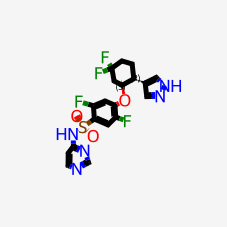 O=S(=O)(Nc1ccncn1)c1cc(F)c(O[C@H]2CC(F)(F)CC[C@@H]2c2cn[nH]c2)cc1F